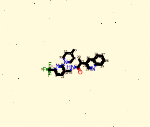 CC1CCN(c2nc(C(F)(F)F)ccc2CNC(=O)C(C)c2cnc3ccccc3c2)CC1